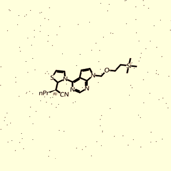 CCC[C@H](C#N)C1SC=CN1c1ncnc2c1ccn2COCC[Si](C)(C)C